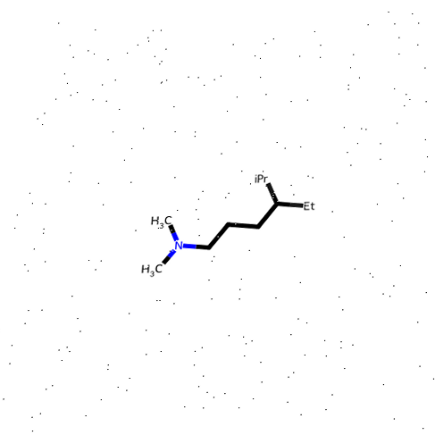 CCC(CCCN(C)C)C(C)C